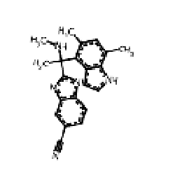 CNC(C)(c1nc2cc(C#N)ccc2[nH]1)c1c(C)cc(C)c2[nH]ccc12